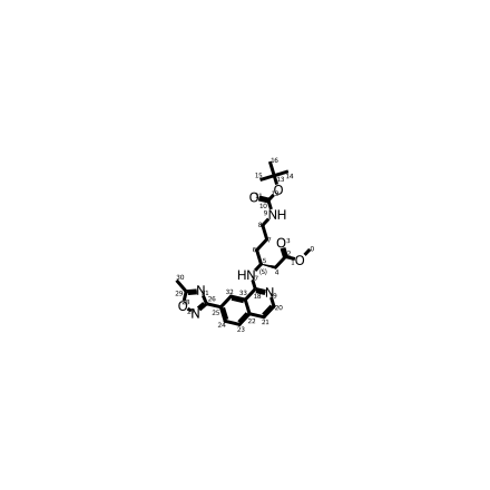 COC(=O)C[C@H](CCCNC(=O)OC(C)(C)C)Nc1nccc2ccc(-c3noc(C)n3)cc12